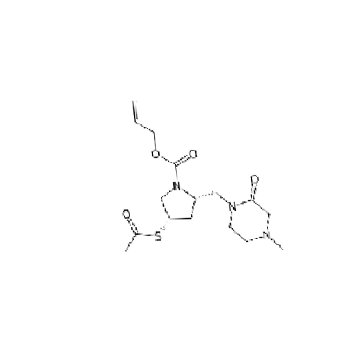 C=CCOC(=O)N1C[C@@H](SC(C)=O)C[C@H]1CN1CCN(C)CC1=O